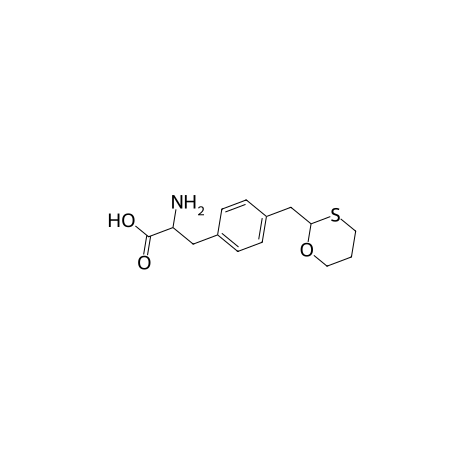 NC(Cc1ccc(CC2OCCCS2)cc1)C(=O)O